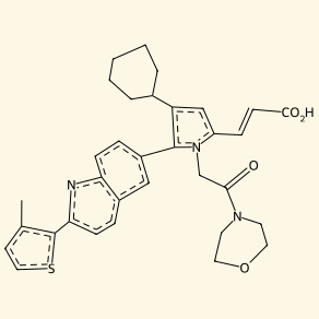 Cc1ccsc1-c1ccc2cc(-c3c(C4CCCCC4)cc(/C=C/C(=O)O)n3CC(=O)N3CCOCC3)ccc2n1